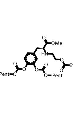 CCCC(C)OC(=O)Oc1ccc(C[C@H](NCCOC(=O)CC)C(=O)OC)cc1OC(=O)OC(C)CCC